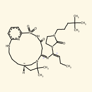 CC/C=C(\N=C1/CC(=O)NS(=O)(=O)c2cccc(n2)NCCC[C@@H]2CN1C(C)(C)C2)N1CCN(CCCC(C)(C)C)C1=O